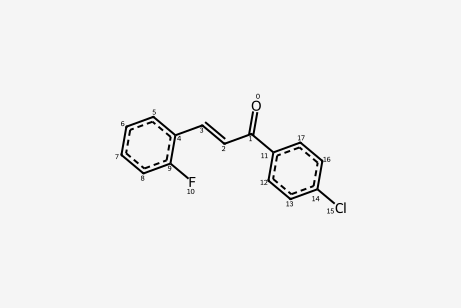 O=C(/C=C/c1ccccc1F)c1ccc(Cl)cc1